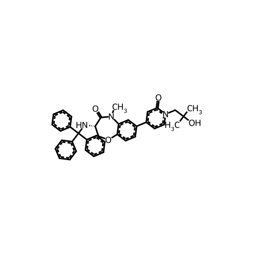 CN1C(=O)[C@@H](NC(c2ccccc2)(c2ccccc2)c2ccccc2)COc2ccc(-c3ccn(CC(C)(C)O)c(=O)c3)cc21